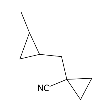 CC1CC1CC1(C#N)CC1